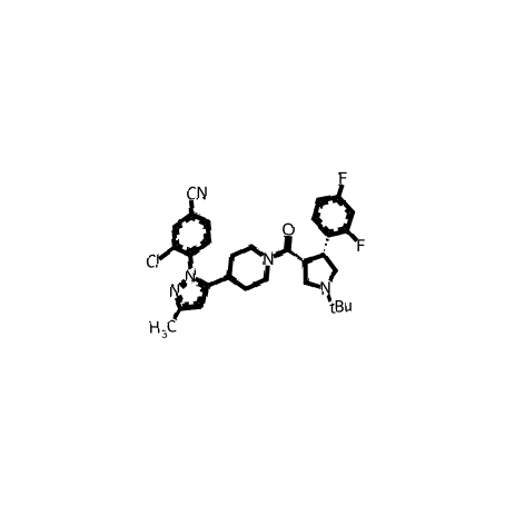 Cc1cc(C2CCN(C(=O)[C@@H]3CN(C(C)(C)C)C[C@H]3c3ccc(F)cc3F)CC2)n(-c2ccc(C#N)cc2Cl)n1